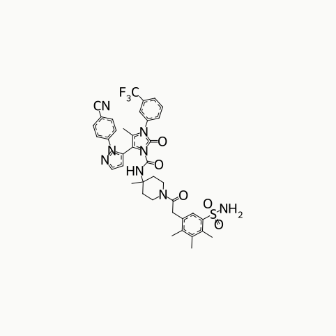 Cc1c(CC(=O)N2CCC(C)(NC(=O)n3c(-c4ccnn4-c4ccc(C#N)cc4)c(C)n(-c4cccc(C(F)(F)F)c4)c3=O)CC2)cc(S(N)(=O)=O)c(C)c1C